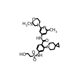 Cc1cc(NC(=O)c2ccc(NS(=O)(=O)CCO)cc2N2CCC3(CC2)CC3)cc(N2CCO[C@H](C)C2)n1